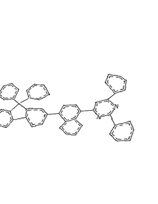 c1ccc(-c2cc(-c3ccc(-c4ccc5c(c4)C(c4ccccc4)(c4ccccc4)c4ccccc4-5)c4ccccc34)nc(-c3ccccc3)n2)cc1